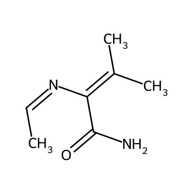 C/C=N\C(C(N)=O)=C(C)C